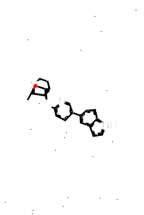 CC1C(Oc2ccc(-c3ccc4[nH]ccc4c3)cn2)C2CCN1CC2